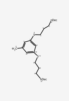 [CH2]c1cc(SCCCCCCCCCCCCC)cc(SCCCCCCCCCCCCC)c1